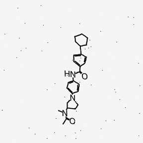 CC(=O)N(C)C1CCN(c2ccc(NC(=O)c3ccc(C4CCCCC4)cc3)cc2)C1